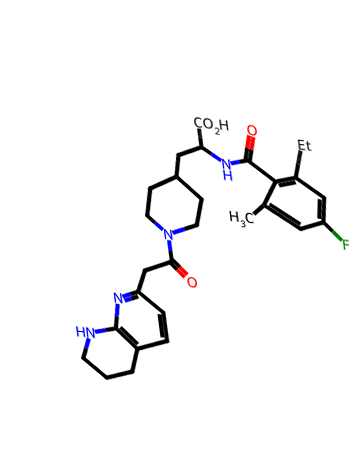 CCc1cc(F)cc(C)c1C(=O)NC(CC1CCN(C(=O)Cc2ccc3c(n2)NCCC3)CC1)C(=O)O